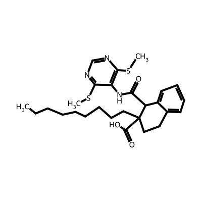 CCCCCCCCCC1(C(=O)O)CCc2ccccc2C1C(=O)Nc1c(SC)ncnc1SC